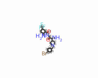 Nc1ccc(C(F)(F)F)cc1C(=O)NCC(=O)C(N)C1CCN(Cc2ccc(Br)cc2)CC1